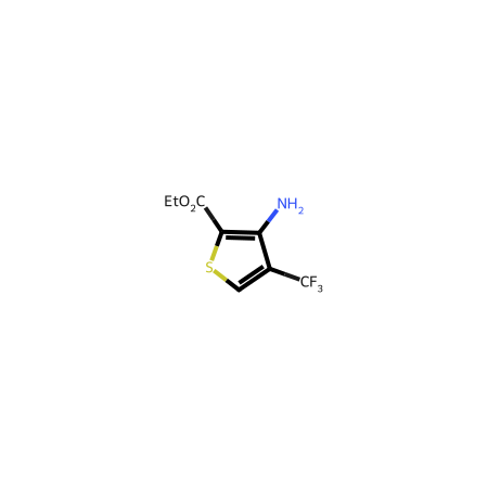 CCOC(=O)c1scc(C(F)(F)F)c1N